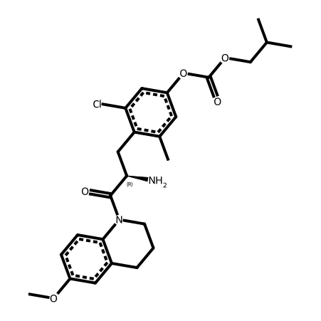 COc1ccc2c(c1)CCCN2C(=O)[C@H](N)Cc1c(C)cc(OC(=O)OCC(C)C)cc1Cl